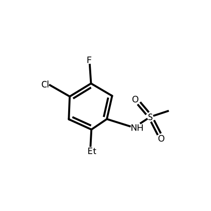 CCc1cc(Cl)c(F)cc1NS(C)(=O)=O